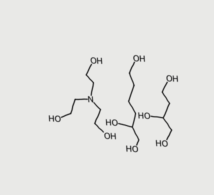 OCCC(O)CO.OCCCCC(O)CO.OCCN(CCO)CCO